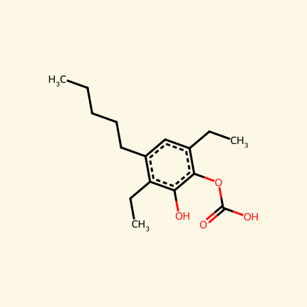 CCCCCc1cc(CC)c(OC(=O)O)c(O)c1CC